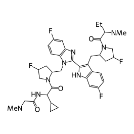 CCC(NC)C(=O)N1CC(F)CC1Cc1c(-c2nc3cc(F)ccc3n2CC2CC(F)CN2C(=O)C(NC(=O)CNC)C2CC2)[nH]c2cc(F)ccc12